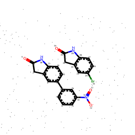 O=C1Cc2cc(-c3cccc([N+](=O)[O-])c3)ccc2N1.O=C1Cc2cc(Br)ccc2N1